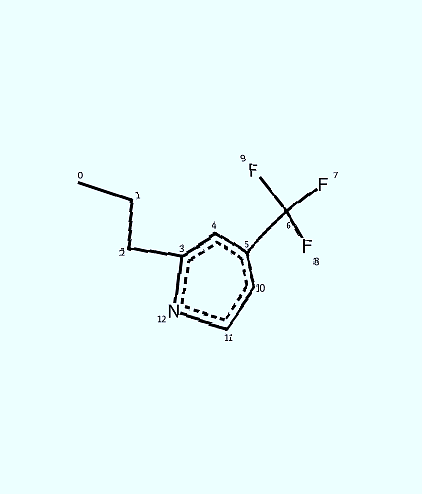 CC[CH]c1cc(C(F)(F)F)ccn1